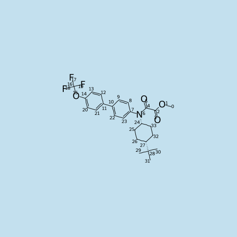 COC(=O)C(=O)N(c1ccc(-c2ccc(OC(F)(F)F)cc2)cc1)[C@H]1CC[C@@H](C(C)(C)C)CC1